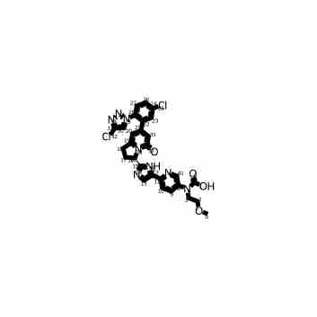 COCCN(C(=O)O)c1ccc(-c2cnc([C@@H]3CCc4cc(-c5cc(Cl)ccc5-n5cc(Cl)nn5)cc(=O)n43)[nH]2)nc1